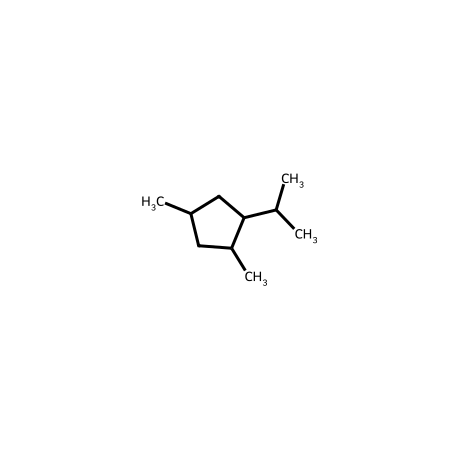 CC1CC(C)C(C(C)C)C1